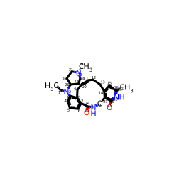 CCN(c1cccc2c1CC=CCCc1cc(C)[nH]c(=O)c1CNC2=O)C1CCN(C)CC1